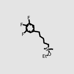 CCO[Si](C)(C)CCCCCc1cc(F)c(F)c(F)c1